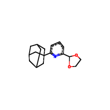 c1cc(C2OCCO2)nc(C23CC4CC(CC(C4)C2)C3)c1